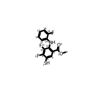 COC(=O)c1cc(S)c(F)c(F)c1Nc1ccccc1F